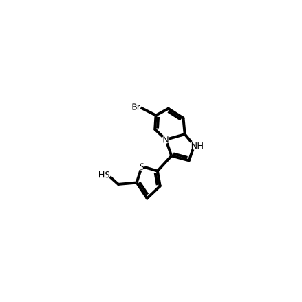 SCc1ccc(C2=CNC3C=CC(Br)=CN23)s1